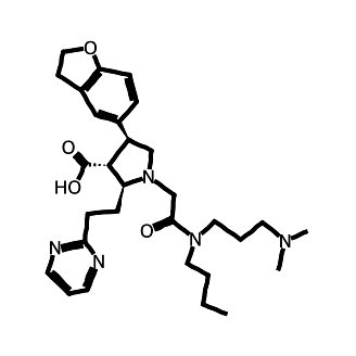 CCCCN(CCCN(C)C)C(=O)CN1C[C@H](c2ccc3c(c2)CCO3)[C@@H](C(=O)O)[C@@H]1CCc1ncccn1